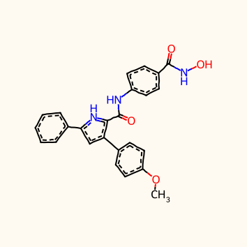 COc1ccc(-c2cc(-c3ccccc3)[nH]c2C(=O)Nc2ccc(C(=O)NO)cc2)cc1